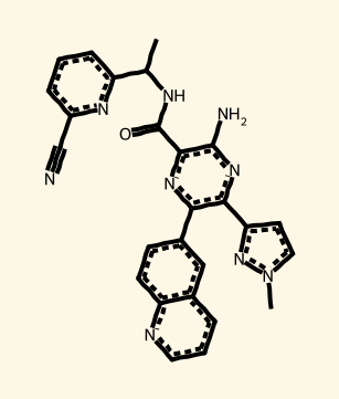 CC(NC(=O)c1nc(-c2ccc3ncccc3c2)c(-c2ccn(C)n2)nc1N)c1cccc(C#N)n1